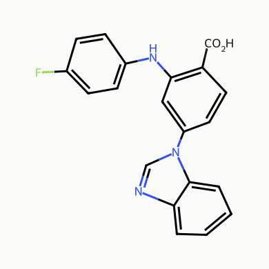 O=C(O)c1ccc(-n2cnc3ccccc32)cc1Nc1ccc(F)cc1